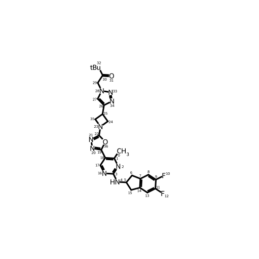 Cc1nc(NC2Cc3cc(F)c(F)cc3C2)ncc1-c1nnc(N2CC(c3cn(CC(=O)C(C)(C)C)nn3)C2)o1